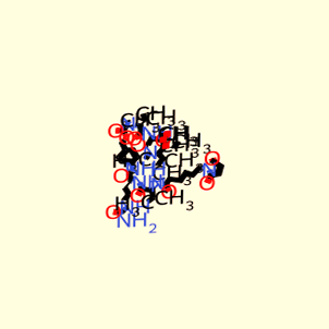 CC[C@H](C)[C@@H]([C@@H](CC)OC)N(C)C(=O)[C@@H](NC(=O)[C@H](C(C)C)N(C)C(=O)OCc1ccc(NC(=O)[C@H](CCCNC(N)=O)NC(=O)[C@@H](NC(=O)CCCCCN2C(=O)C=CC2=O)C(C)C)cc1)C(C)C